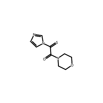 O=C(C(=S)n1c[c]nc1)N1CCOCC1